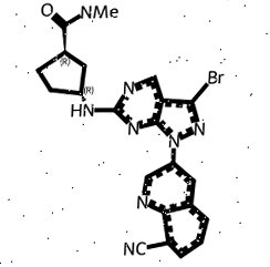 CNC(=O)[C@@H]1CC[C@@H](Nc2ncc3c(Br)nn(-c4cnc5c(C#N)cccc5c4)c3n2)C1